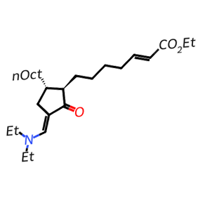 CCCCCCCC[C@H]1CC(=CN(CC)CC)C(=O)[C@@H]1CCCCC=CC(=O)OCC